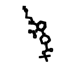 CC(C)(C)OC(=O)N1CCN(c2cccc(NCCC#N)c2[N+](=O)[O-])CC1